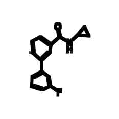 O=C(NC1CC1)c1cc[c]c(-c2cccc(F)c2)c1